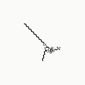 CCCCCCCCCCCCCCCCOC[C@H](COP(=O)([O-])OCC[N+](C)(C)C)SC(=O)CCCCCC